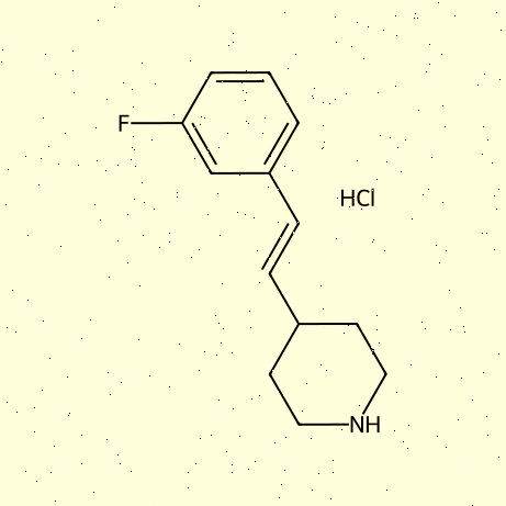 Cl.Fc1cccc(C=CC2CCNCC2)c1